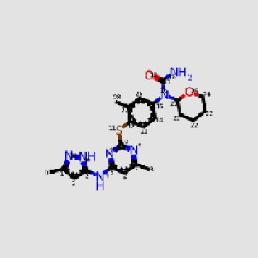 Cc1cc(Nc2cc(C)nc(Sc3ccc(N(C(N)=O)C4CCCCO4)cc3C)n2)[nH]n1